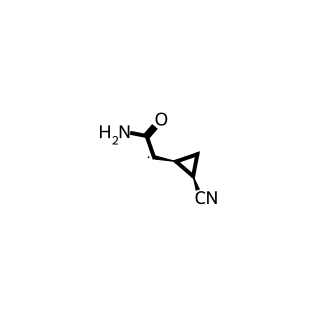 N#C[C@@H]1C[C@@H]1[CH]C(N)=O